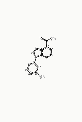 NC(=O)c1cccc2c1ccn2-c1ccnc(N)n1